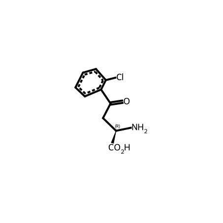 N[C@H](CC(=O)c1ccccc1Cl)C(=O)O